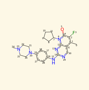 Cc1c(F)c(=O)n(C2CCCC2)c2nc(Nc3ccc(N4CCN(C)CC4)cc3)ncc12